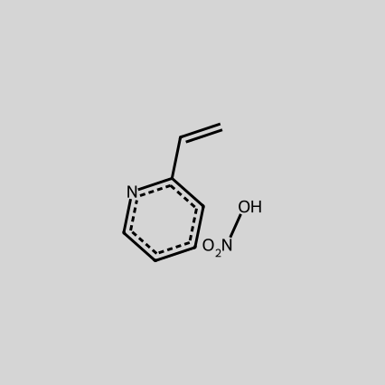 C=Cc1ccccn1.O=[N+]([O-])O